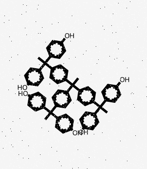 CC(c1ccc(O)cc1)(c1ccc(O)cc1)c1ccc(C(C)(c2ccc(C(C)(c3ccc(O)cc3)c3ccc(O)cc3)cc2)c2ccc(C(C)(c3ccc(O)cc3)c3ccc(O)cc3)cc2)cc1